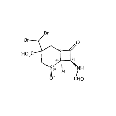 O=CN[C@@H]1C(=O)N2CC(C(=O)O)(C(Br)Br)C[S@+]([O-])[C@H]12